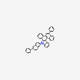 c1ccc(-c2ccc3cc(-n4c5ccccc5c5c6c7ccccc7c(-c7ccccc7)cc6c6ccccc6c54)ccc3c2)cc1